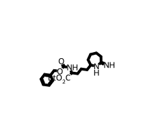 CCOC(=O)C(CCCC1CCCCC(=N)N1)NC(=O)OCc1ccccc1